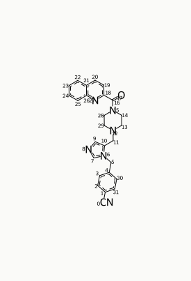 N#Cc1ccc(Cn2cncc2CN2CCN(C(=O)c3ccc4ccccc4n3)CC2)cc1